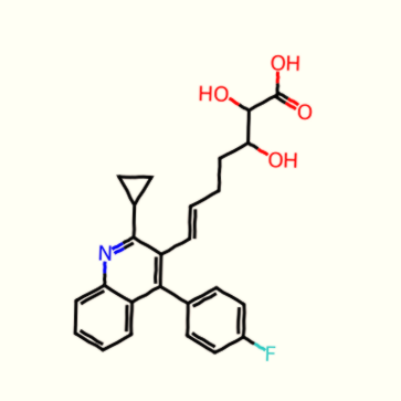 O=C(O)C(O)C(O)CCC=Cc1c(C2CC2)nc2ccccc2c1-c1ccc(F)cc1